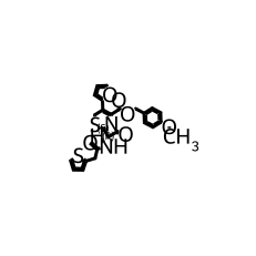 COc1ccc(COC(=O)C2=C(c3ccco3)CS[C@H]3[C@H](NC(=O)Cc4cccs4)C(=O)N23)cc1